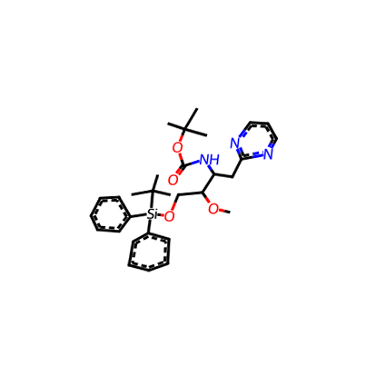 COC(CO[Si](c1ccccc1)(c1ccccc1)C(C)(C)C)C(Cc1ncccn1)NC(=O)OC(C)(C)C